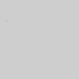 CCOC(=O)c1oc2cc(OC)c(Br)cc2c1C(=O)OCC